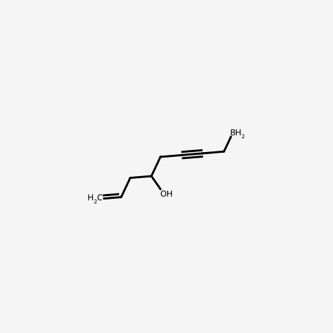 BCC#CCC(O)CC=C